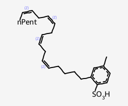 CCCCC/C=C\C/C=C\C/C=C\C/C=C\CCCCc1cc(C)ccc1S(=O)(=O)O